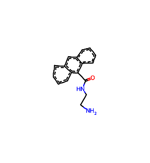 NCCNC(=O)c1c2ccccc2cc2ccccc12